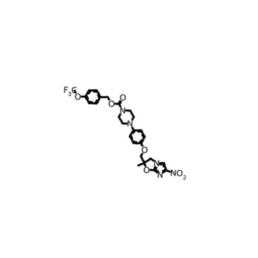 CC1(COc2ccc(N3CCN(C(=O)OCc4ccc(OC(F)(F)F)cc4)CC3)cc2)Cn2cc([N+](=O)[O-])nc2O1